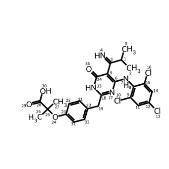 CC(C)C(=N)c1c(Nc2c(Cl)cc(Cl)cc2Cl)nc(Cc2ccc(OC(C)(C)C(=O)O)cc2)[nH]c1=O